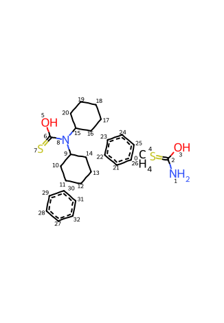 C.NC(O)=S.OC(=S)N(C1CCCCC1)C1CCCCC1.c1ccccc1.c1ccccc1